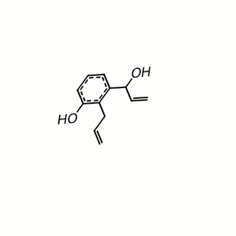 C=CCc1c(O)cccc1C(O)C=C